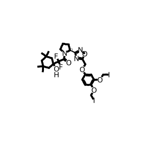 CC1(C)CC(C)(C)CC(O)(C(F)(F)C(=O)N2CCC[C@H]2c2noc(COc3ccc(OCI)c(OCI)c3)n2)C1